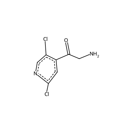 NCC(=O)c1cc(Cl)ncc1Cl